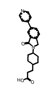 O=C(O)CCC1CCC(N2Cc3ccc(-c4ccncc4)cc3C2=O)CC1